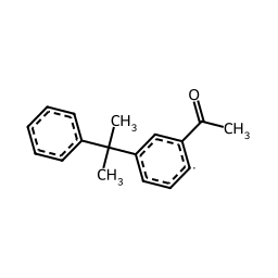 CC(=O)c1[c]ccc(C(C)(C)c2ccccc2)c1